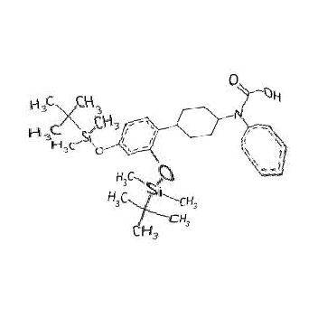 CC(C)(C)[Si](C)(C)Oc1ccc(C2CCC(N(C(=O)O)c3ccccc3)CC2)c(O[Si](C)(C)C(C)(C)C)c1